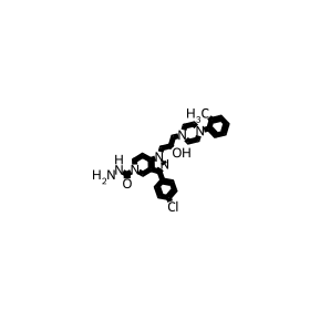 Cc1ccccc1N1CCN(CC(O)Cn2nc(-c3ccc(Cl)cc3)c3c2CCN(C(=O)NN)C3)CC1